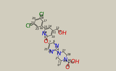 CC1CN(c2ncc(Oc3cc(CO)cc(-c4cc(Cl)cc(Cl)c4)n3)cn2)CCN1C(=O)O